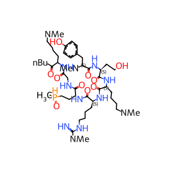 CCCCC(=O)C(CCCCNC)NC(=O)CNC(=O)C(CC[PH](C)=O)NC(=O)[C@H](CCCCNC(=N)NC)NC(=O)[C@H](CCCCNC)NC(=O)[C@H](CCO)NC(=O)[C@H](Cc1ccc(O)cc1)NC